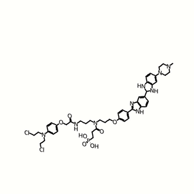 CN1CCN(c2ccc3c(c2)NC(c2ccc4[nH]c(-c5ccc(OCCCN(CCCNC(=O)COc6ccc(N(CCCl)CCCl)cc6)C(=O)CCP(=O)(O)O)cc5)nc4c2)N3)CC1